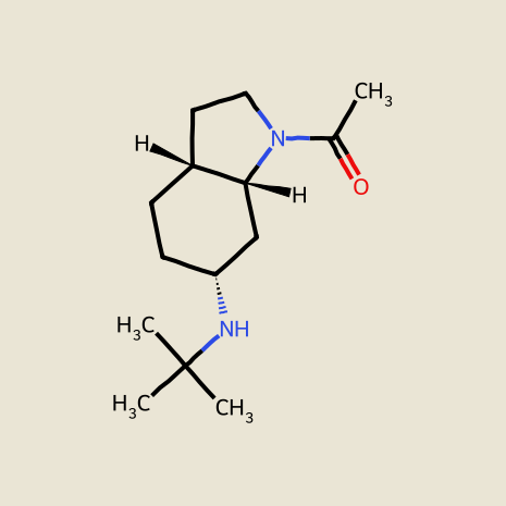 CC(=O)N1CC[C@H]2CC[C@@H](NC(C)(C)C)C[C@H]21